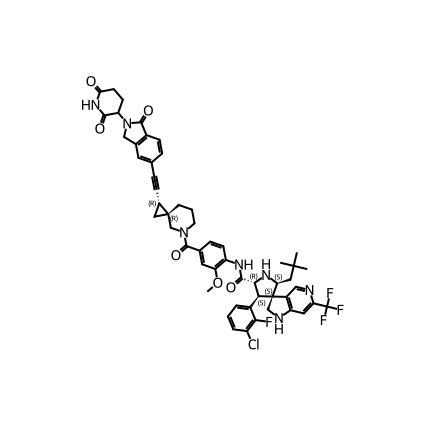 COc1cc(C(=O)N2CCC[C@]3(C[C@@H]3C#Cc3ccc4c(c3)CN(C3CCC(=O)NC3=O)C4=O)C2)ccc1NC(=O)[C@@H]1N[C@@H](CC(C)(C)C)[C@@]2(CNc3cc(C(F)(F)F)ncc32)[C@H]1c1cccc(Cl)c1F